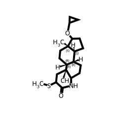 CSC1C[C@@]2(C)C(CC[C@@H]3[C@H]2CC[C@]2(C)C(OC4CC4)CC[C@@H]32)NC1=O